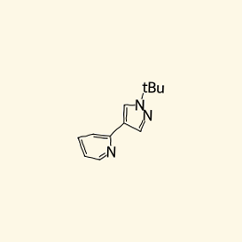 CC(C)(C)n1cc(-c2ccccn2)cn1